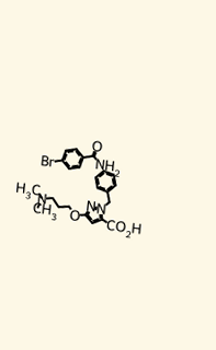 CN(C)CCCOc1cc(C(=O)O)n(Cc2ccccc2)n1.NC(=O)c1ccc(Br)cc1